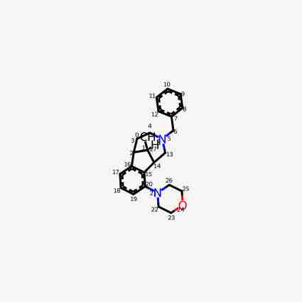 C[C@H]1C2CCN(Cc3ccccc3)CC1c1c2cccc1N1CCOCC1